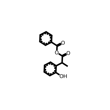 CC(C(=O)OC(=O)c1ccccc1)c1ccccc1O